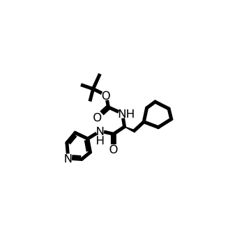 CC(C)(C)OC(=O)N[C@@H](CC1CCCCC1)C(=O)Nc1ccncc1